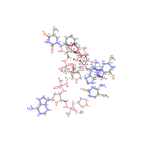 CC[C@H]1O[C@@H](n2cc(C)c(N)nc2=O)C[C@H]1OP(=O)(S)OC[C@H]1O[C@@H](n2cnc3c(N)ncnc32)C[C@H]1OP(=O)(S)OC[C@]12O[C@@H](n3cnc4c(=O)[nH]c(N)nc43)C(O[C@H]1C)[C@H]2OP(=O)(O)OC[C@]12O[C@@H](n3cc(C)c(=O)[nH]c3=O)C(O[C@H]1C)[C@H]2OP(=O)(S)OC[C@]12O[C@@H](n3cnc4c(=O)[nH]c(C)nc43)C(O[C@H]1C)[C@H]2OC(=O)OCc1ccccc1